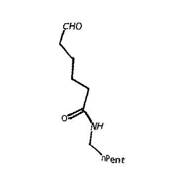 CCCCCCNC(=O)CCCCC=O